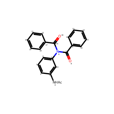 CC(=O)Nc1cccc(N(C(=O)c2ccccc2)C(=O)c2ccccc2)c1